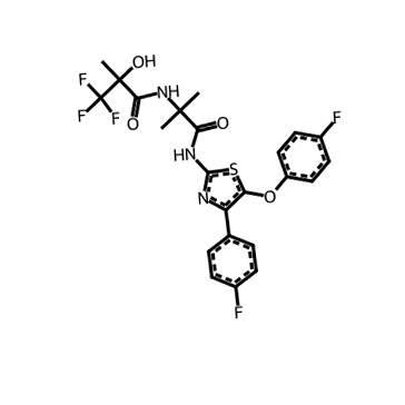 CC(C)(NC(=O)C(C)(O)C(F)(F)F)C(=O)Nc1nc(-c2ccc(F)cc2)c(Oc2ccc(F)cc2)s1